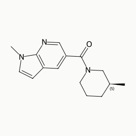 C[C@H]1CCCN(C(=O)c2cnc3c(ccn3C)c2)C1